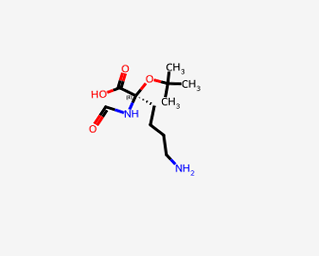 CC(C)(C)O[C@@](CCCCN)(NC=O)C(=O)O